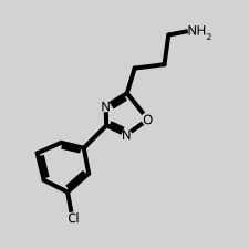 NCCCc1nc(-c2cccc(Cl)c2)no1